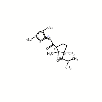 CCCCc1cn(C(C)(C)C)s/c1=N\C(=O)[C@H]1CC[C@@](C)(C(=O)N(C)C)C1(C)C